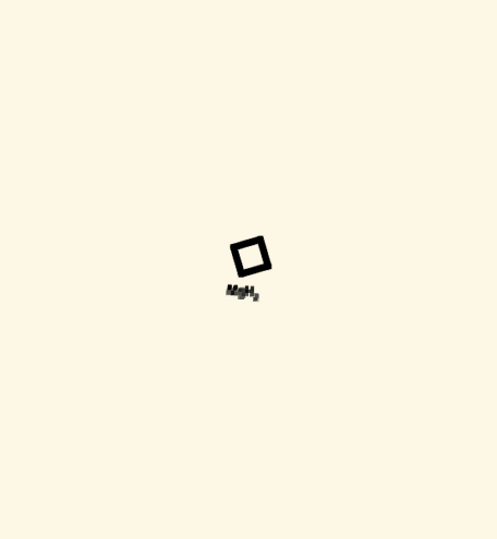 C1CCC1.[MgH2]